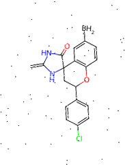 Bc1ccc2c(c1)C1(CC(c3ccc(Cl)cc3)O2)NC(=C)NC1=O